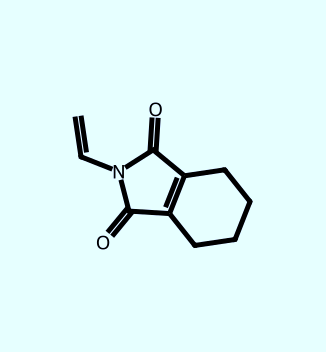 C=CN1C(=O)C2=C(CCCC2)C1=O